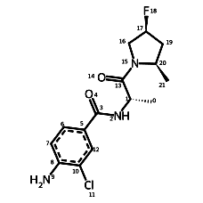 C[C@H](NC(=O)c1ccc(N)c(Cl)c1)C(=O)N1C[C@@H](F)C[C@H]1C